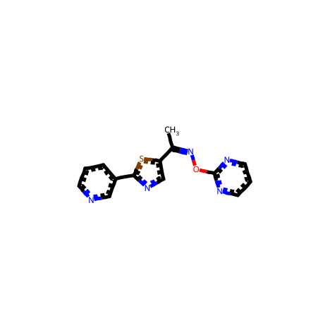 CC(=NOc1ncccn1)c1cnc(-c2cccnc2)s1